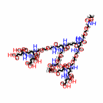 CC(C)(C)OC(=O)NCCOCCOCCNC(=O)C(CCC(=O)NCCOCCOCC(=O)NC(CCC(=O)NC(CCC(=O)O)C(=O)O)C(=O)NC(CCC(=O)O)C(=O)O)NC(=O)CCCC(=O)NC(CCC(=O)NCCOCCOCC(=O)NC(CCC(=O)NC(CCC(=O)O)C(=O)O)C(=O)NC(CCC(=O)O)C(=O)O)C(=O)NCCOCCOCCNC(=O)OC(C)(C)C